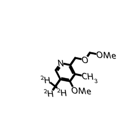 [2H]C([2H])([2H])c1cnc(COCOC)c(C)c1OC